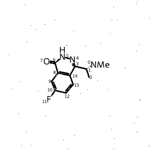 CN[C@H](C)c1n[nH]c(=O)c2cc(F)ccc12